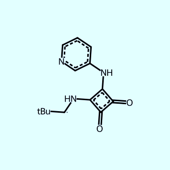 CC(C)(C)[CH]Nc1c(Nc2cccnc2)c(=O)c1=O